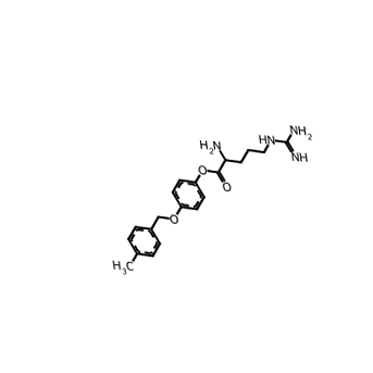 Cc1ccc(COc2ccc(OC(=O)C(N)CCCNC(=N)N)cc2)cc1